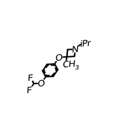 CC(C)N1CC(C)(Oc2ccc(OC(F)F)cc2)C1